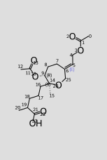 CC(=O)OC/C=C1\CC[C@@H](OC(C)=O)[C@](C)(CCCC(C)C(=O)O)OC1